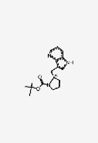 CC(C)(C)OC(=O)N1CCC[C@@H]1Cc1c[nH]c2cccnc12